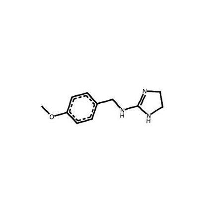 COc1ccc(CNC2=NCCN2)cc1